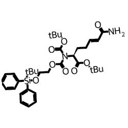 CC(C)(C)OC(=O)[C@H](CC/C=C/C(N)=O)N(C(=O)OCCO[Si](c1ccccc1)(c1ccccc1)C(C)(C)C)C(=O)OC(C)(C)C